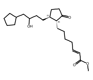 COC(=O)C=CCCCC[C@H]1C(=O)CC[C@@H]1CCC(O)CC1CCCC1